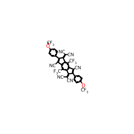 N#CC(C#N)=C1C(c2ccc(OC(F)(F)F)cc2)=C(C#N)c2c1c(C(F)(F)F)c1c(c2C(F)(F)F)C(=C(C#N)C#N)C(c2ccc(OC(F)(F)F)cc2)=C1C#N